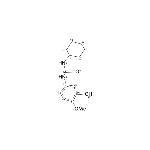 COc1ccc(NC(=O)NC2CCCCC2)cc1O